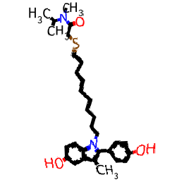 Cc1c(-c2ccc(O)cc2)n(CCCCCCCCCCSCC(=O)N(C)C(C)C)c2ccc(O)cc12